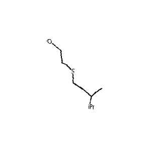 CC(C)C(C)CSCC[O]